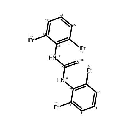 CCc1cccc(CC)c1NC(=S)Nc1c(C(C)C)cccc1C(C)C